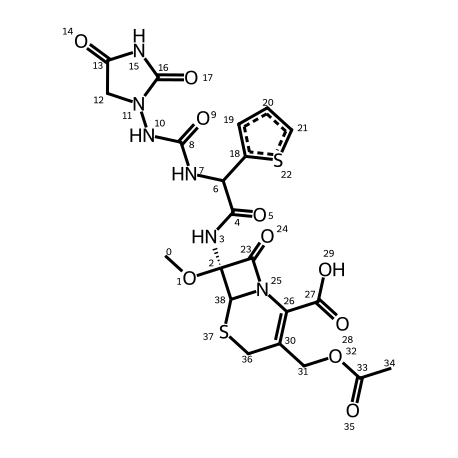 CO[C@@]1(NC(=O)C(NC(=O)NN2CC(=O)NC2=O)c2cccs2)C(=O)N2C(C(=O)O)=C(COC(C)=O)CSC21